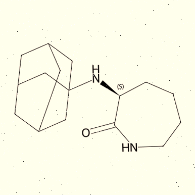 O=C1NCCCC[C@@H]1NC12CC3CC(CC(C3)C1)C2